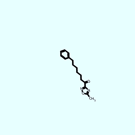 Cc1nc(C(=O)CCCCCCc2ccccc2)no1